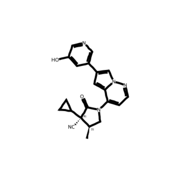 C[C@@H]1CN(c2ccnn3cc(-c4cncc(O)c4)cc23)C(=O)[C@]1(C#N)C1CC1